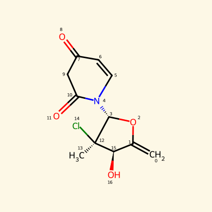 C=C1O[C@@H](N2C=CC(=O)CC2=O)[C@](C)(Cl)[C@@H]1O